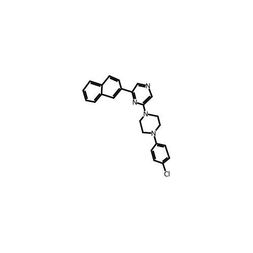 Clc1ccc(N2CCN(c3cncc(-c4ccc5ccccc5c4)n3)CC2)cc1